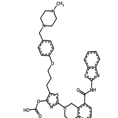 CN1CCN(Cc2ccc(OCCCc3sc(N4CCc5cccc(C(=O)Nc6nc7ccccc7s6)c5C4)nc3OC(=O)O)cc2)CC1